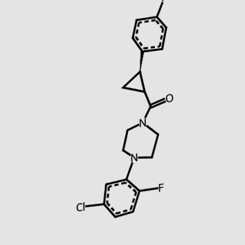 O=C(C1C[C@H]1c1ccc(F)cc1)N1CCN(c2cc(Cl)ccc2F)CC1